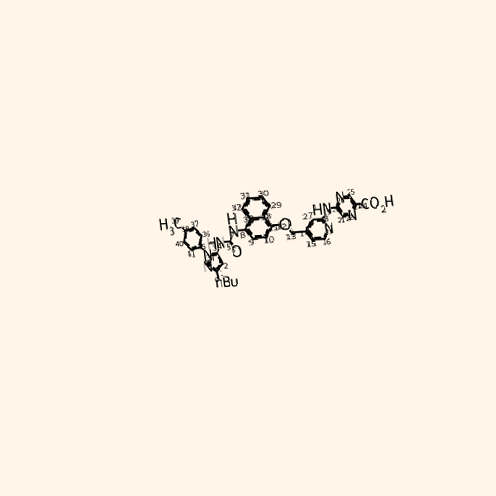 CCCCc1cc(NC(=O)Nc2ccc(OCc3ccnc(Nc4cnc(C(=O)O)cn4)c3)c3ccccc23)n(-c2ccc(C)cc2)n1